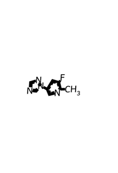 Cc1ncc(-n2cncn2)cc1F